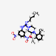 CCCC/N=C(/Nc1cc([N+](=O)[O-])cc([N+](=O)[O-])c1)N1CCN(c2c(C)cccc2C)CC1